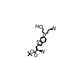 CC(C)(C)OC(=O)/C(C#N)=C/c1cc2ccc(N(CCO)CCC#N)cc2s1